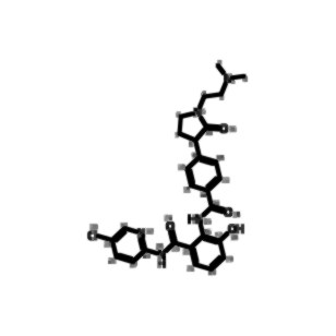 CN(C)CCN1CCC(c2ccc(C(=O)Nc3c(O)cccc3C(=O)Nc3ccc(Cl)cn3)cc2)C1=O